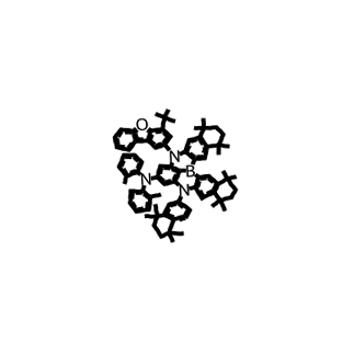 Cc1ccccc1N(c1cc2c3c(c1)N(c1cc(C(C)(C)C)c4oc5ccccc5c4c1)c1cc4c(cc1B3c1cc3c(cc1N2c1ccc2c(c1)C(C)(C)CCC2(C)C)C(C)(C)CCC3(C)C)C(C)(C)CCC4(C)C)c1ccccc1C